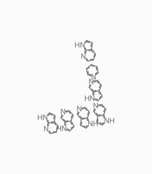 c1cc2[nH]ccc2cn1.c1cc2[nH]ccc2cn1.c1cc2cc[nH]c2cn1.c1cc2cc[nH]c2cn1.c1ccncc1.c1cnc2[nH]ccc2c1.c1cnc2[nH]ccc2c1